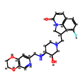 O=c1ccc2ccc(F)c3c2n1CC3CN1CC[C@H](NCc2cc3c(cn2)OCCO3)[C@H](O)C1